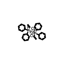 C=C[PH](c1ccccc1)(c1ccccc1)[Pd]([Cl])([Cl])[PH](C=C)(c1ccccc1)c1ccccc1